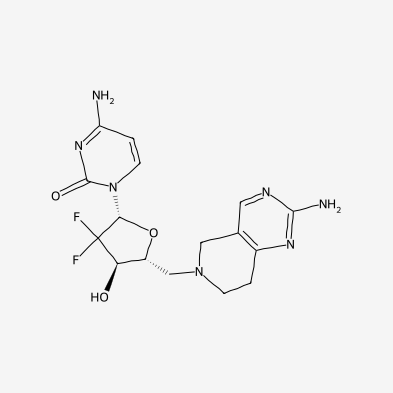 Nc1ccn([C@@H]2O[C@H](CN3CCc4nc(N)ncc4C3)[C@@H](O)C2(F)F)c(=O)n1